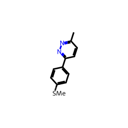 CSc1ccc(-c2ccc(C)nn2)cc1